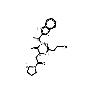 C[C@H](NC(=O)[C@H](CC(=O)N1CCC[C@@H]1C)NC(=O)CCC(C)(C)C)c1nc2ccccc2[nH]1